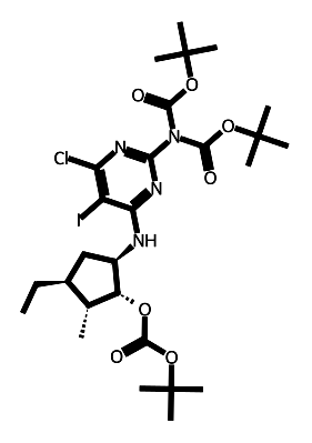 CC[C@H]1C[C@@H](Nc2nc(N(C(=O)OC(C)(C)C)C(=O)OC(C)(C)C)nc(Cl)c2I)[C@H](OC(=O)OC(C)(C)C)[C@@H]1C